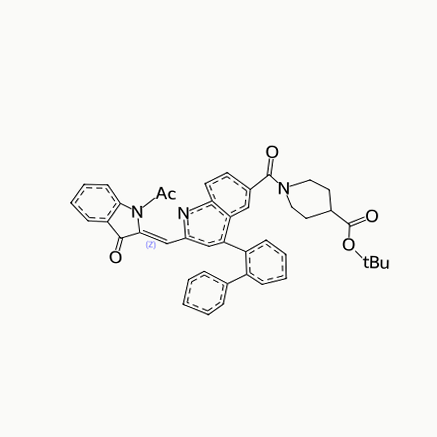 CC(=O)N1/C(=C\c2cc(-c3ccccc3-c3ccccc3)c3cc(C(=O)N4CCC(C(=O)OC(C)(C)C)CC4)ccc3n2)C(=O)c2ccccc21